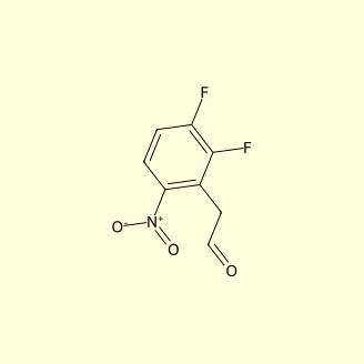 O=CCc1c([N+](=O)[O-])ccc(F)c1F